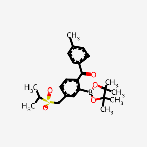 Cc1ccc(C(=O)c2ccc(CS(=O)(=O)C(C)C)cc2B2OC(C)(C)C(C)(C)O2)cc1